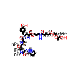 CCCO[C@H](C[C@H](C(C)C)N(CCC)C(=O)[C@@H](NC(=O)[C@H]1CCCCN1C)[C@@H](C)CC)c1nc(C(=O)N[C@@H](Cc2ccc(O)cc2)C[C@H](C)C(=O)OCCCNC(=O)CCCC(=O)OCC(OC)OC(C)CO)cs1